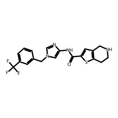 O=C(Nc1cn(Cc2cccc(C(F)(F)F)c2)cn1)c1cc2c(s1)CCNC2